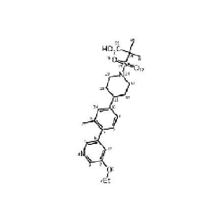 CCOc1cncc(-c2ccc(C3CCN(S(=O)(=O)C(C)(C)C(=O)O)CC3)cc2C)c1